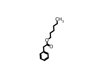 CCCCCCOC(=O)Cc1ccccc1